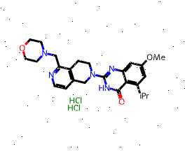 COc1cc(C(C)C)c2c(=O)[nH]c(N3CCc4c(ccnc4CN4CCOCC4)C3)nc2c1.Cl.Cl